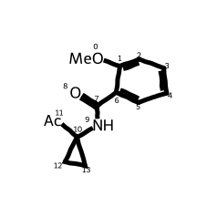 COc1ccccc1C(=O)NC1(C(C)=O)CC1